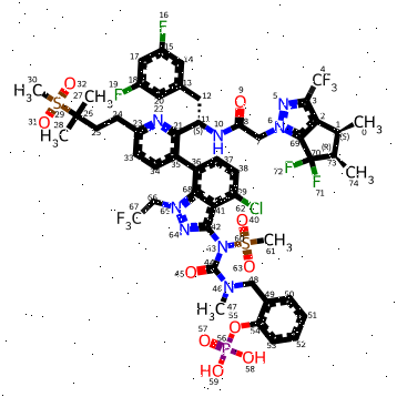 C[C@@H]1c2c(C(F)(F)F)nn(CC(=O)N[C@@H](Cc3cc(F)cc(F)c3)c3nc(CCC(C)(C)S(C)(=O)=O)ccc3-c3ccc(Cl)c4c(N(C(=O)N(C)Cc5ccccc5OP(=O)(O)O)S(C)(=O)=O)nn(CC(F)(F)F)c34)c2C(F)(F)[C@@H]1C